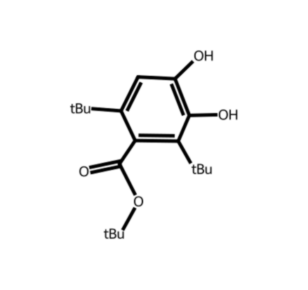 CC(C)(C)OC(=O)c1c(C(C)(C)C)cc(O)c(O)c1C(C)(C)C